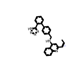 C/C=C\c1cc(NCc2ccc(-c3ccccc3-c3nnn[nH]3)cc2)c2ccccc2n1